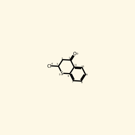 O=C1CC(Cl)Sc2ccccc21